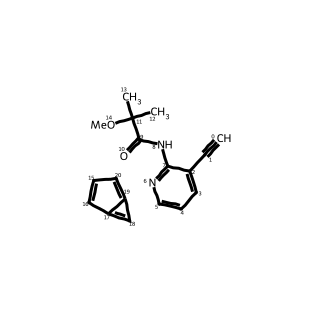 C#Cc1cccnc1NC(=O)C(C)(C)OC.c1cc2cc-2c1